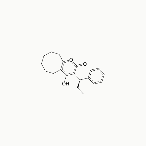 CC[C@H](c1ccccc1)c1c(O)c2c(oc1=O)CCCCCC2